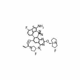 C=CC(=O)N1C[C@@H](F)[C@@H](N(C)c2nc(OC[C@@]34CCCN3C[C@H](F)C4)nc3c(C#N)c(-c4ccc(F)c5sc(N)c(C#N)c45)c(Cl)cc23)C1